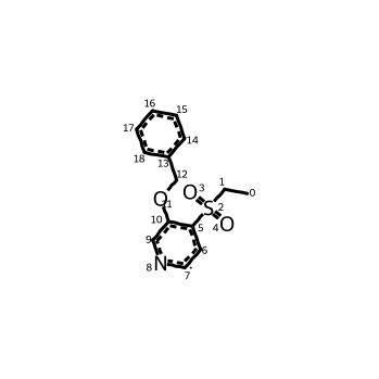 CCS(=O)(=O)c1c[c]ncc1OCc1ccccc1